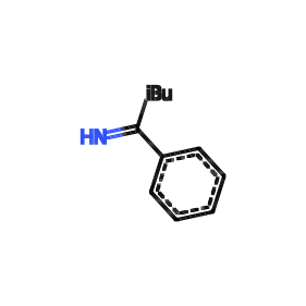 CCC(C)C(=N)c1ccccc1